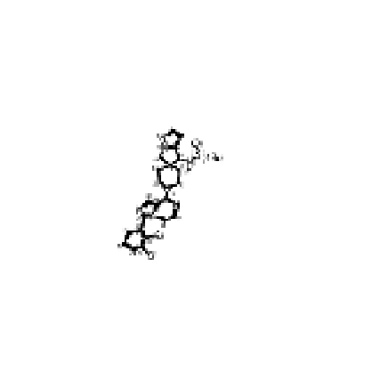 CC(C)(C)[S@@+]([O-])N[C@@H]1c2ccnn2CC12CCN(c1nccn3c(-c4cccc(Cl)c4Cl)ncc13)CC2